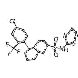 O=S(=O)(Nc1ncns1)c1ccc2c(-c3ccc(Cl)cc3C(F)(F)F)cccc2c1